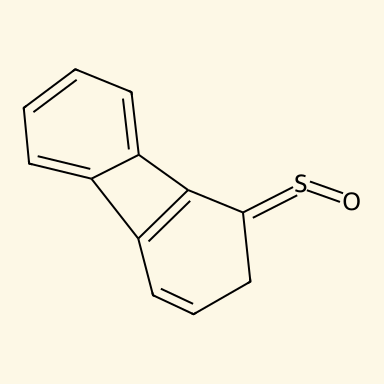 O=S=C1CC=CC2=C1c1ccccc12